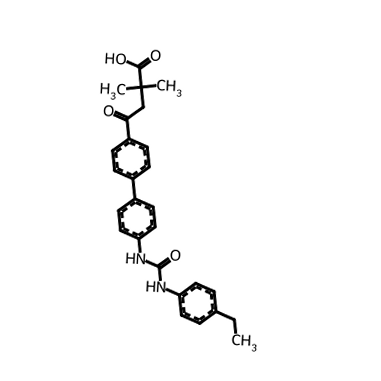 CCc1ccc(NC(=O)Nc2ccc(-c3ccc(C(=O)CC(C)(C)C(=O)O)cc3)cc2)cc1